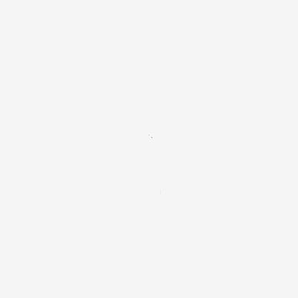 O=S(=O)(CF)N(S(=O)(=O)CF)S(=O)(=O)CF.[Li+]